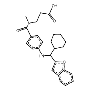 CN(CCC(=O)O)C(=O)c1ccc(NC(c2cc3ccccc3o2)C2CCCCC2)cc1